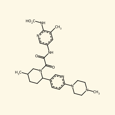 Cc1cc(NC(=O)C(=O)N2CC(C)CCC2c2ccc(N3CCN(C)CC3)nc2)cnc1NC(=O)O